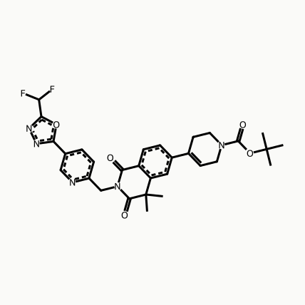 CC(C)(C)OC(=O)N1CC=C(c2ccc3c(c2)C(C)(C)C(=O)N(Cc2ccc(-c4nnc(C(F)F)o4)cn2)C3=O)CC1